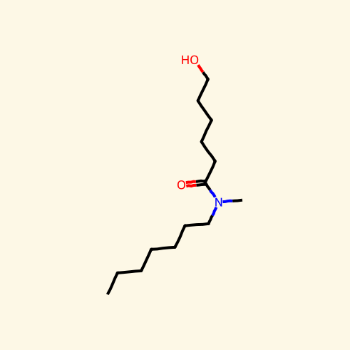 CCCCCCCN(C)C(=O)CCCCCO